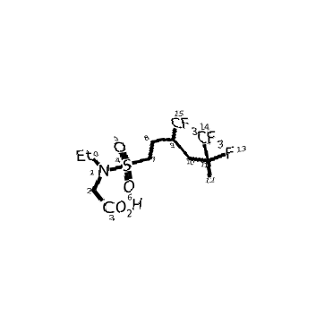 CCN(CC(=O)O)S(=O)(=O)CCC(CC(C)(F)C(F)(F)F)C(F)(F)F